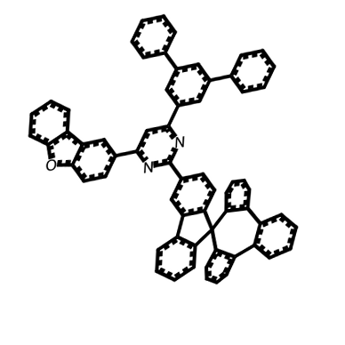 c1ccc(-c2cc(-c3ccccc3)cc(-c3cc(-c4ccc5oc6ccccc6c5c4)nc(-c4ccc5c(c4)-c4ccccc4C54c5ccccc5-c5ccccc5-c5ccccc54)n3)c2)cc1